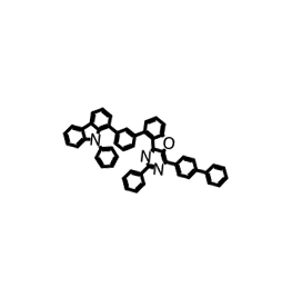 c1ccc(-c2ccc(-c3nc(-c4ccccc4)nc4c3oc3cccc(-c5cccc(-c6cccc7c8ccccc8n(-c8ccccc8)c67)c5)c34)cc2)cc1